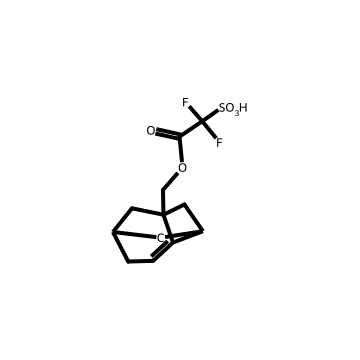 O=C(OCC12CC3CC=C1C(C3)C2)C(F)(F)S(=O)(=O)O